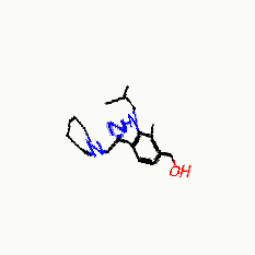 Cc1c(CO)ccc2c(CN3CCCCC3)nn(CC(C)C)c12